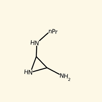 CCCNC1NC1N